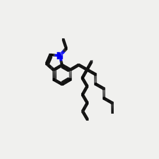 CCCCCCC(C)(CCCCCC)Cc1cccc2ccn(CC)c12